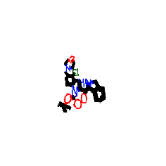 CC(C)(C)OC(=O)n1c(C(=O)C2NCc3ccccc32)cc2c(Cl)c(CN3CCOCC3)ccc21